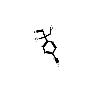 CCC(C)(C=O)c1ccc(C#N)cc1